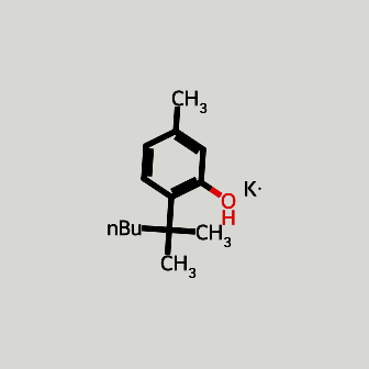 CCCCC(C)(C)c1ccc(C)cc1O.[K]